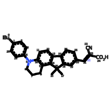 CCC(C)c1ccc(N2CCCc3c2ccc2c3C(C)(C)c3cc(/C=C(\C#N)C(=O)O)ccc3-2)cc1